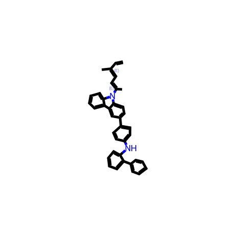 C=C/C(C)=C/C=C(\C)n1c2ccccc2c2cc(-c3ccc(Nc4ccccc4-c4ccccc4)cc3)ccc21